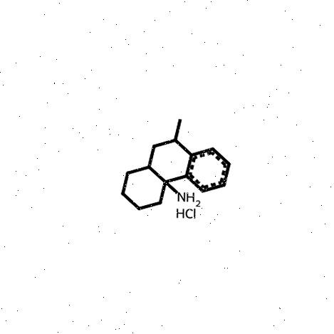 CC1CC2CCCCC2(N)c2ccccc21.Cl